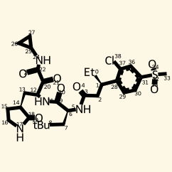 CC[C@H](CC(=O)N[C@@H](CC(C)(C)C)C(=O)NC(C[C@@H]1CCNC1=O)C(=O)C(=O)NC1CC1)c1ccc(S(C)(=O)=O)cc1Cl